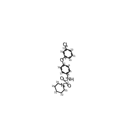 O=S(=O)(Nc1ccc(Oc2cccc(Cl)c2)cc1)N1CCCCC1